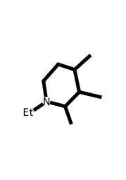 CCN1CCC(C)C(C)C1C